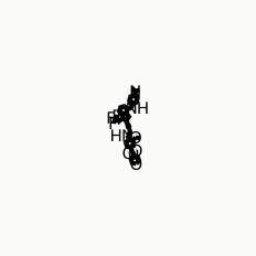 COc1cc(S(=O)(=O)N2CCOCC2)ccc1NCC#Cc1cc2c(Nc3ccc(N(C)C)cc3)cccc2n1CC(F)(F)F